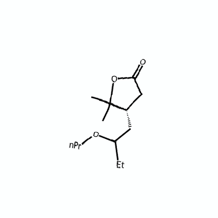 CCCOC(CC)C[C@H]1CC(=O)OC1(C)C